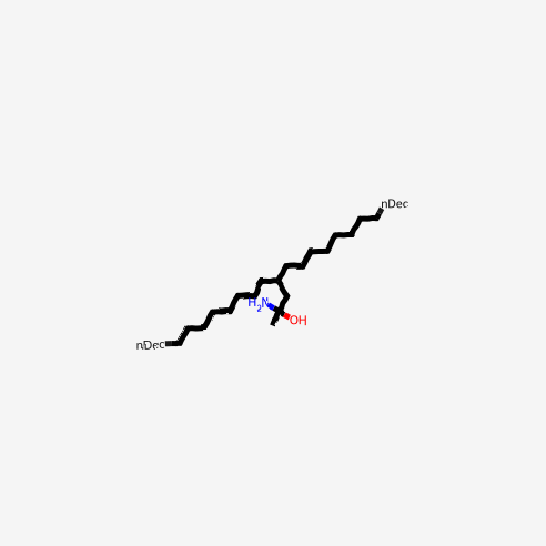 CCCCCCCCCCCCCCCCCCC(CCCCCCCCCCCCCCCCCC)CC(C)(N)O